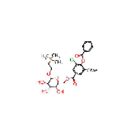 COc1cc(C(=O)OC[C@H]2O[C@@H](OCCS(C)(C)C)[C@H](O)[C@@H](O)[C@@H]2O)cc(Cl)c1OC(=O)c1ccccc1